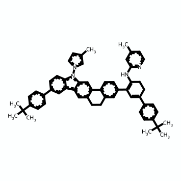 Cc1ccnc(NC2=C(c3ccc4c(c3)CCc3cc5c6cc(-c7ccc(C(C)(C)C)cc7)ccc6n(-n6ccc(C)c6)c5cc3-4)C=C(c3ccc(C(C)(C)C)cc3)CC2)c1